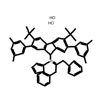 Cc1cc(C)cc(-c2cc3c(cc2C(C)(C)C)-c2cc(C(C)(C)C)c(-c4cc(C)cc(C)c4)cc2[CH]3[Zr]([C]2=CC=CC2)=[C](Cc2ccccc2)Cc2ccccc2)c1.Cl.Cl